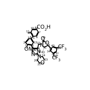 COc1ccc(-c2ccc(C(=O)O)cc2C)cc1-c1cnc(N2CCOCC2)nc1CN1C(=O)OC(c2cc(C(F)(F)F)cc(C(F)(F)F)c2)[C@@H]1C